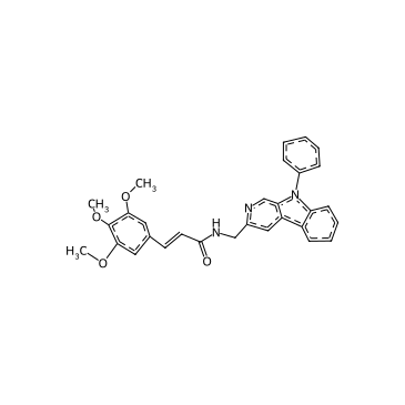 COc1cc(/C=C/C(=O)NCc2cc3c4ccccc4n(-c4ccccc4)c3cn2)cc(OC)c1OC